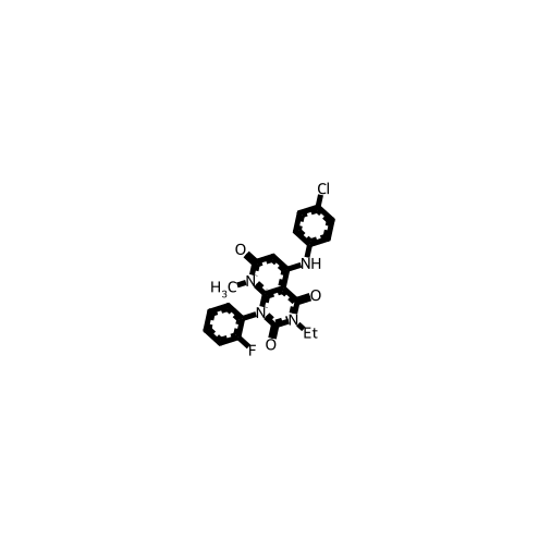 CCn1c(=O)c2c(Nc3ccc(Cl)cc3)cc(=O)n(C)c2n(-c2ccccc2F)c1=O